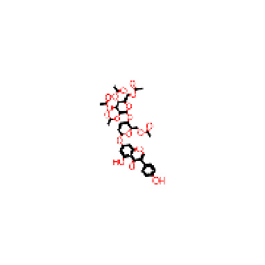 CC(=O)OCC1OC(Oc2cc(O)c3c(=O)c(-c4ccc(O)cc4)coc3c2)C=CC1OC1OC(COC(C)=O)C(OC(C)=O)C(OC(C)=O)C1OC(C)=O